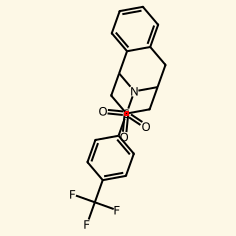 O=C1CC2Cc3ccccc3C(C1)N2S(=O)(=O)c1ccc(C(F)(F)F)cc1